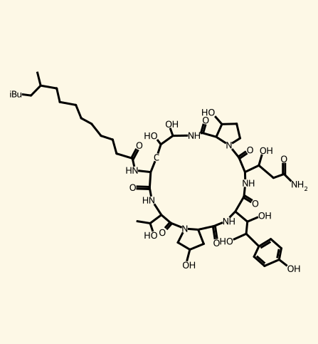 CCC(C)CC(C)CCCCCCCCC(=O)NC1CC(O)C(O)NC(=O)C2C(O)CCN2C(=O)C(C(O)CC(N)=O)NC(=O)C(C(O)C(O)c2ccc(O)cc2)NC(=O)C2CC(O)CN2C(=O)C(C(C)O)NC1=O